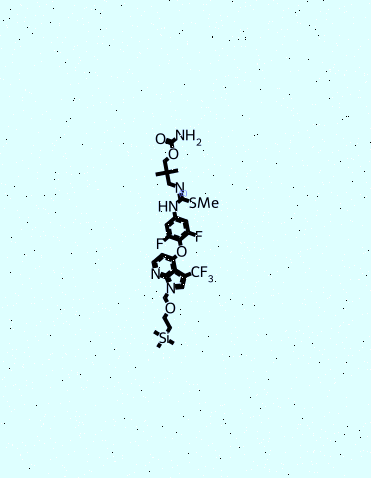 CS/C(=N/CC(C)(C)COC(N)=O)Nc1cc(F)c(Oc2ccnc3c2c(C(F)(F)F)cn3COCC[Si](C)(C)C)c(F)c1